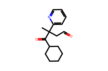 CC(CC=O)(C(=O)C1CCCCC1)c1ccccn1